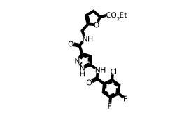 CCOC(=O)C1CC=C(CNC(=O)c2cc(NC(=O)c3cc(F)c(F)cc3Cl)[nH]n2)O1